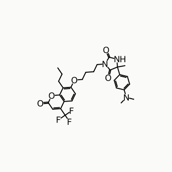 CCCc1c(OCCCCN2C(=O)NC(C)(c3ccc(N(C)C)cc3)C2=O)ccc2c(C(F)(F)F)cc(=O)oc12